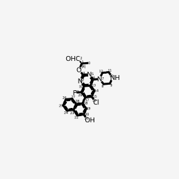 C[C@H](C=O)Oc1nc(N2CCNCC2)c2cc(Cl)c(-c3cc(O)cc4ccccc34)c(F)c2n1